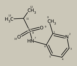 Cc1ncccc1NS(=O)(=O)C(C)C